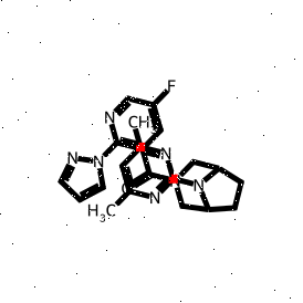 Cc1cc(C)nc(N2C3CCC2CN(C(=O)c2cc(F)cnc2-n2cccn2)C3)n1